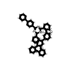 c1ccc(-c2ccc(C3=NC(c4ccccc4)NC(c4cccc5oc6ccc(-c7ccc8c9ccccc9c9ccccc9c8c7)cc6c45)=N3)cc2)cc1